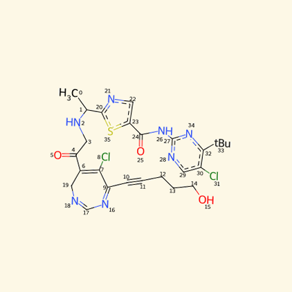 CC(NCC(=O)C1=C(Cl)C(C#CCCCO)=NC=NC1)c1ncc(C(=O)Nc2ncc(Cl)c(C(C)(C)C)n2)s1